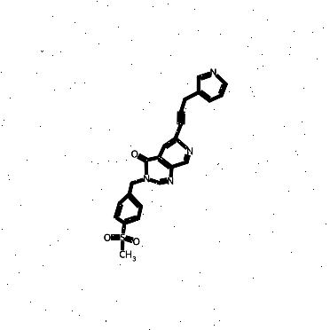 CS(=O)(=O)c1ccc(Cn2cnc3cnc(C#CCc4cccnc4)cc3c2=O)cc1